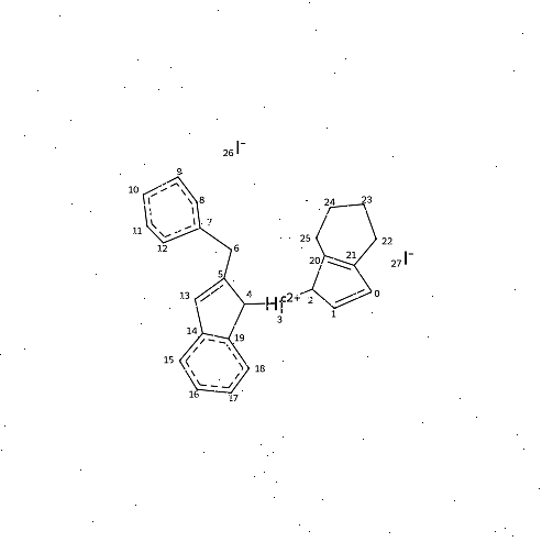 C1=C[CH]([Hf+2][CH]2C(Cc3ccccc3)=Cc3ccccc32)C2=C1CCCC2.[I-].[I-]